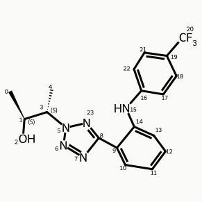 C[C@H](O)[C@H](C)n1nnc(-c2ccccc2Nc2ccc(C(F)(F)F)cc2)n1